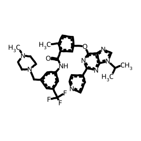 Cc1ccc(Oc2nc(-c3ccncc3)nc3c2ncn3C(C)C)cc1C(=O)Nc1cc(CN2CCN(C)CC2)cc(C(F)(F)F)c1